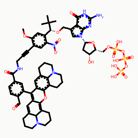 COc1cc([C@@H](OCc2cn([C@H]3C[C@@H](O)[C@@H](COP(=O)(O)OP(=O)(O)OP(=O)(O)O)O3)c3nc(N)[nH]c(=O)c23)C(C)(C)C)c([N+](=O)[O-])cc1C#CCNC(=O)c1ccc(C=O)c(C2=C3C=C4CCCN5CCCC(=C3Oc3c2cc2c6c3CCCN6CCC2)C45)c1